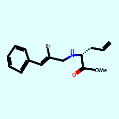 C=CC[C@@H](NC/C(Br)=C/c1ccccc1)C(=O)OC